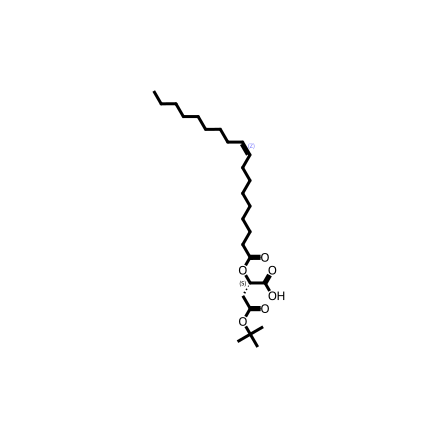 CCCCCCCC/C=C\CCCCCCCC(=O)O[C@@H](CC(=O)OC(C)(C)C)C(=O)O